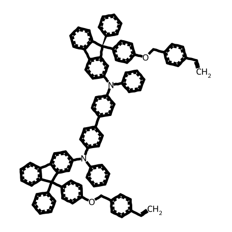 C=Cc1ccc(COc2ccc(C3(c4ccccc4)c4ccccc4-c4ccc(N(c5ccccc5)c5ccc(-c6ccc(N(c7ccccc7)c7ccc8c(c7)[C@@](c7ccccc7)(c7ccc(OCc9ccc(C=C)cc9)cc7)c7ccccc7-8)cc6)cc5)cc43)cc2)cc1